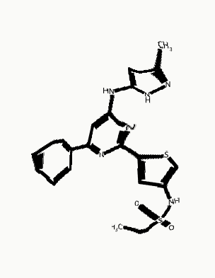 CCS(=O)(=O)Nc1csc(-c2nc(Nc3cc(C)n[nH]3)cc(-c3ccccc3)n2)c1